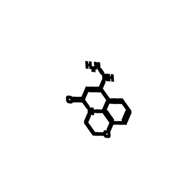 NNc1cc(=O)n2c3c(cccc13)OCC2